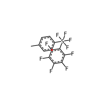 Cc1ccc(S(F)(F)(F)(F)c2c(F)c(F)c(F)c(F)c2F)cc1